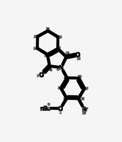 CCCCOc1cc(N2C(=O)C3=C(CCCC3)C2=O)ccc1Br